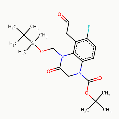 CC(C)(C)OC(=O)N1CC(=O)N(CO[Si](C)(C)C(C)(C)C)c2c1ccc(F)c2CC=O